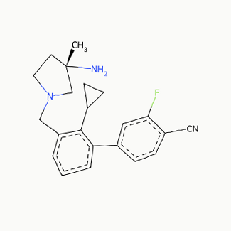 C[C@]1(N)CCN(Cc2cccc(-c3ccc(C#N)c(F)c3)c2C2CC2)C1